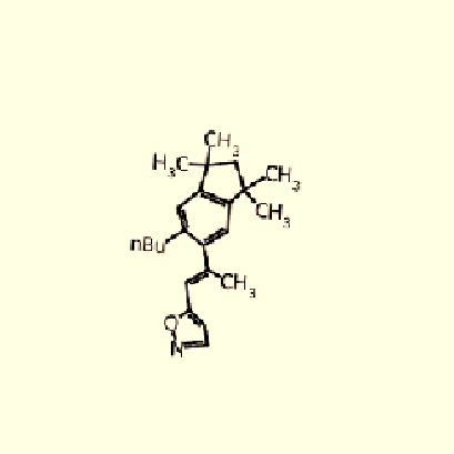 CCCCc1cc2c(cc1C(C)=Cc1ccno1)C(C)(C)CC2(C)C